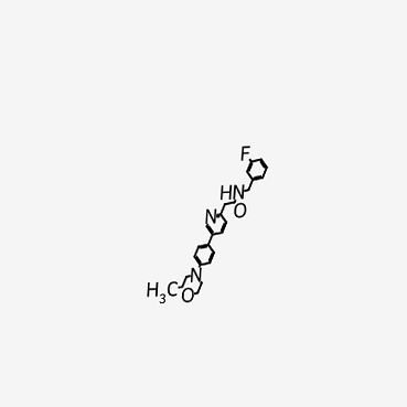 C[C@H]1CN(c2ccc(-c3ccc(CC(=O)NCc4cccc(F)c4)nc3)cc2)CCO1